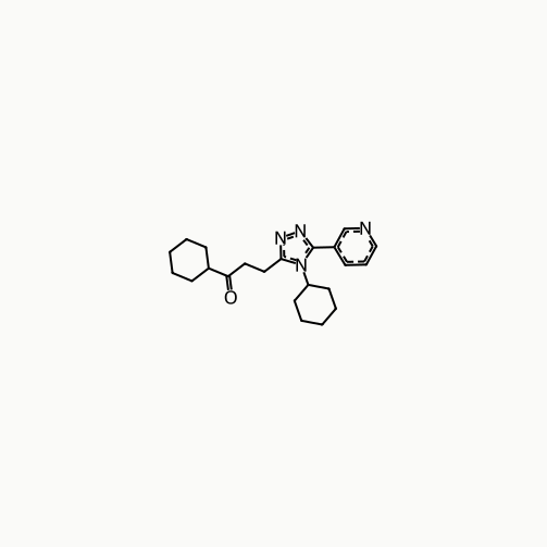 O=C(CCc1nnc(-c2cccnc2)n1C1CCCCC1)C1CCCCC1